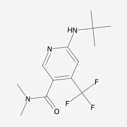 CN(C)C(=O)c1cnc(NC(C)(C)C)cc1C(F)(F)F